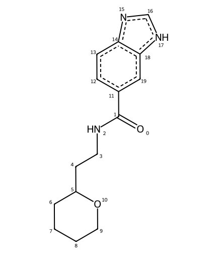 O=C(NCCC1CCCCO1)c1ccc2nc[nH]c2c1